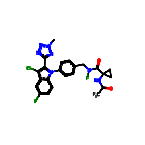 Cn1nnc(-c2c(Cl)c3cc(F)ccc3n2-c2ccc(CN(F)C(=O)C3(NC(=O)C(F)(F)F)CC3)cc2)n1